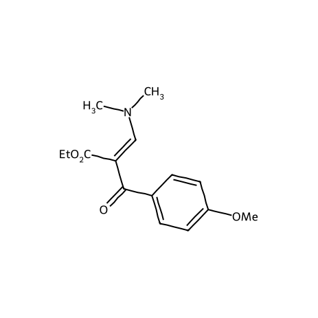 CCOC(=O)C(=CN(C)C)C(=O)c1ccc(OC)cc1